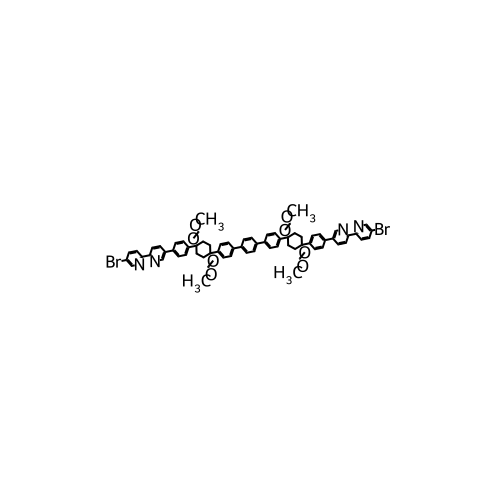 COCOC1(c2ccc(-c3ccc(-c4ccc(C5(OCOC)CCC(OCOC)(c6ccc(-c7ccc(-c8ccc(Br)cn8)nc7)cc6)CC5)cc4)cc3)cc2)CCC(OCOC)(c2ccc(-c3ccc(-c4ccc(Br)cn4)nc3)cc2)CC1